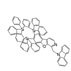 c1ccc([Si]2(c3ccccc3)c3ccccc3[Si](c3ccccc3)(c3ccccc3)c3cc4oc5c(Cn6c7ccccc7c7ccccc76)nccc5c4cc3[Si](c3ccccc3)(c3ccccc3)c3ccccc32)cc1